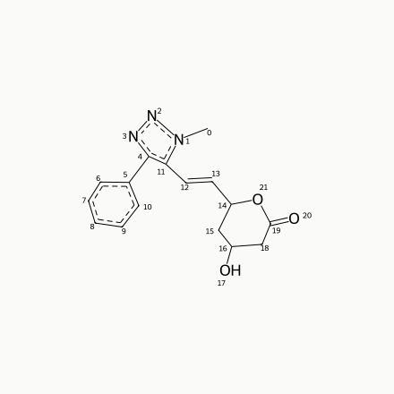 Cn1nnc(-c2ccccc2)c1/C=C/C1CC(O)CC(=O)O1